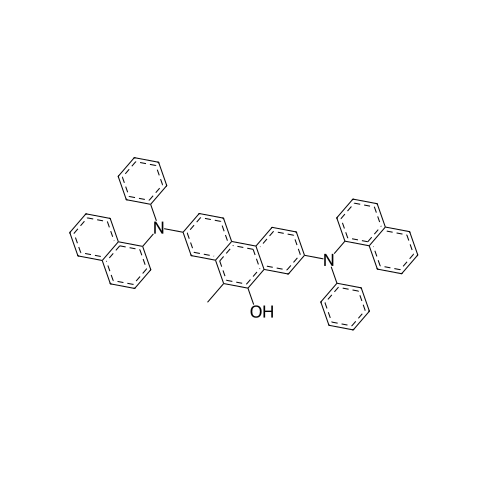 Cc1c(O)c2cc(N(c3ccccc3)c3cccc4ccccc34)ccc2c2ccc(N(c3ccccc3)c3cccc4ccccc34)cc12